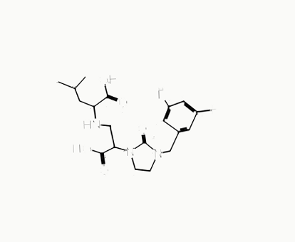 CC(C)CC(NCC(C(=O)O)N1CCN(Cc2cc(F)cc(F)c2)C1=O)C(=O)O